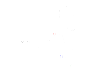 COc1ccc(-c2nc(Cl)ccc2C(=O)c2csc3ccccc23)cc1